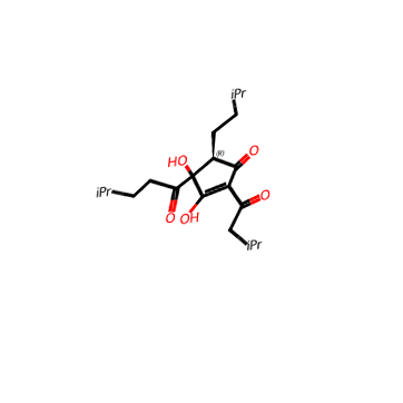 CC(C)CCC(=O)C1(O)C(O)=C(C(=O)CC(C)C)C(=O)[C@@H]1CCC(C)C